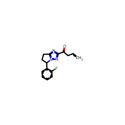 C=CCC(=O)c1nc2n(n1)C(c1ccccc1F)CC2